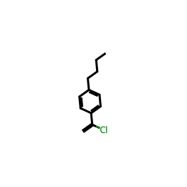 C=C(Cl)c1ccc(CCCC)cc1